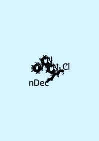 CCCCCCCCCCCCCCCCCl.c1ccncc1.c1ccncc1.c1ccncc1